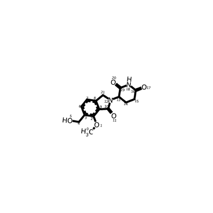 COc1c(CO)ccc2c1C(=O)N(C1CCC(=O)NC1=O)C2